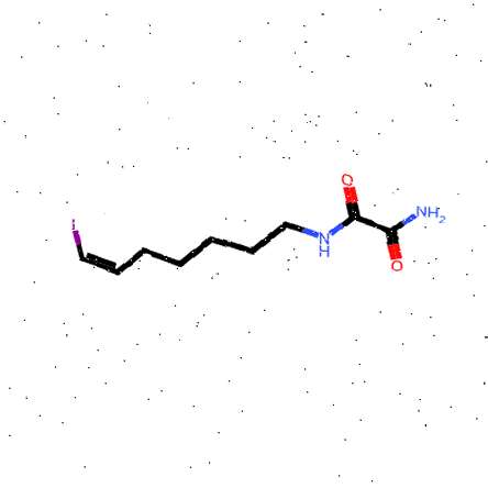 NC(=O)C(=O)NCCCCC/C=C\I